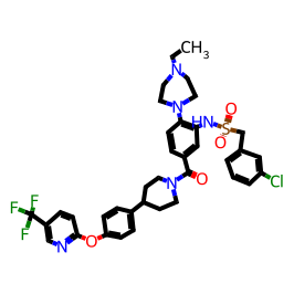 CCN1CCN(c2ccc(C(=O)N3CCC(c4ccc(Oc5ccc(C(F)(F)F)cn5)cc4)CC3)cc2NS(=O)(=O)Cc2cccc(Cl)c2)CC1